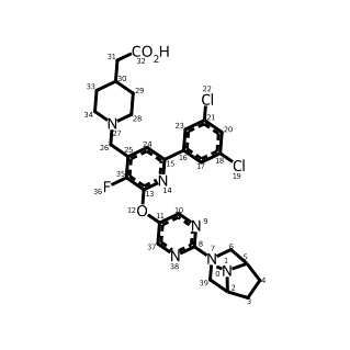 CN1C2CCC1CN(c1ncc(Oc3nc(-c4cc(Cl)cc(Cl)c4)cc(CN4CCC(CC(=O)O)CC4)c3F)cn1)C2